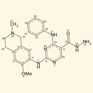 COc1cc2c(cc1Nc1ncc(C(=O)NN)c(Nc3ccccc3)n1)CN(C)CC2